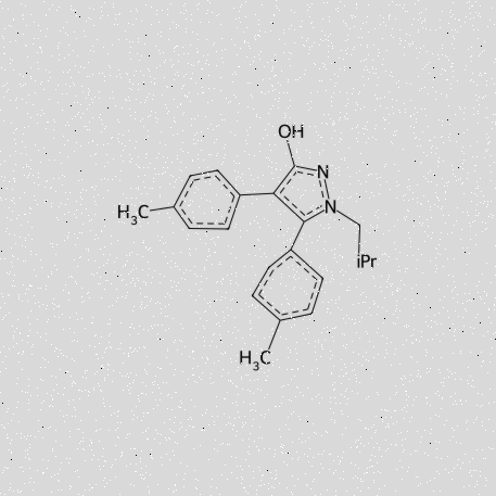 Cc1ccc(-c2c(O)nn(CC(C)C)c2-c2ccc(C)cc2)cc1